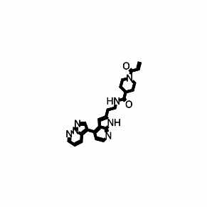 C=CC(=O)N1CCC(C(=O)NCCc2cc3c(-c4cnn5ncccc45)ccnc3[nH]2)CC1